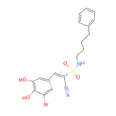 N#C/C(=C\c1cc(O)c(O)c(Br)c1)S(=O)(=O)NCCCCc1ccccc1